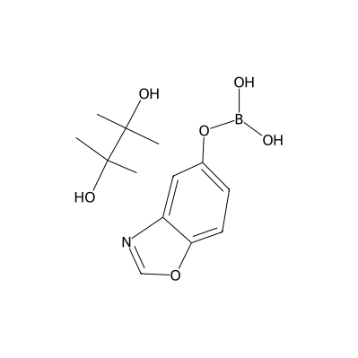 CC(C)(O)C(C)(C)O.OB(O)Oc1ccc2ocnc2c1